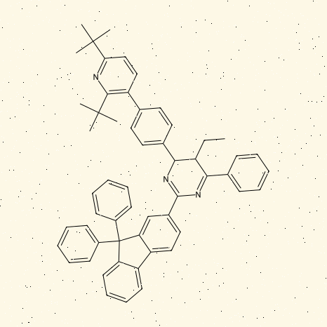 CCC1C(c2ccccc2)=NC(c2ccc3c(c2)C(c2ccccc2)(c2ccccc2)c2ccccc2-3)=NC1c1ccc(-c2ccc(C(C)(C)C)nc2C(C)(C)C)cc1